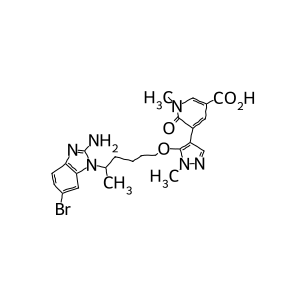 CC(CCCCOc1c(-c2cc(C(=O)O)cn(C)c2=O)cnn1C)n1c(N)nc2ccc(Br)cc21